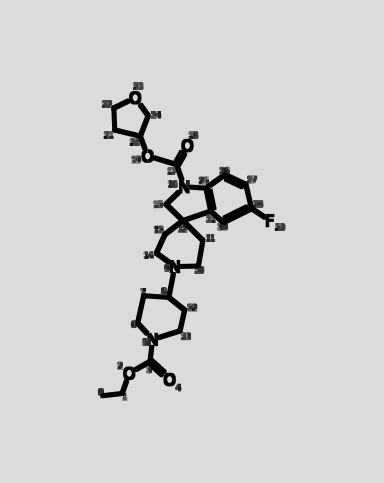 CCOC(=O)N1CCC(N2CCC3(CC2)CN(C(=O)OC2CCOC2)c2ccc(F)cc23)CC1